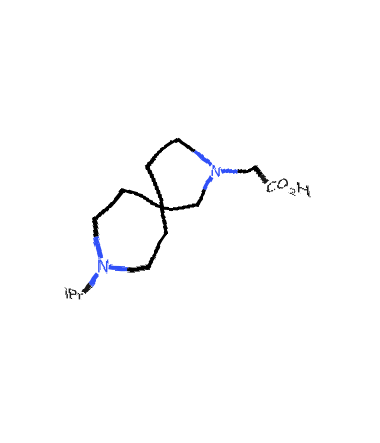 CC(C)N1CCC2(CCN(CC(=O)O)C2)CC1